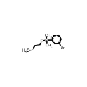 CCCCO[Si](C)(C)c1cccc(Br)c1